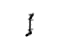 O=C(COc1c(F)ccc2sc(N3CC4CCC(C3)O4)nc12)NCCOCCOCCOCCNC(=O)c1ccc(N2CCC(=O)NC2=O)cc1